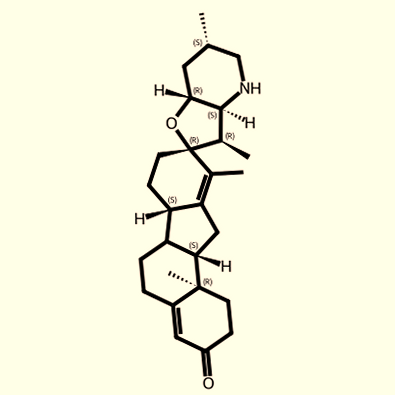 CC1=C2C[C@H]3C(CCC4=CC(=O)CC[C@@]43C)[C@@H]2CC[C@]12O[C@@H]1C[C@H](C)CN[C@H]1[C@H]2C